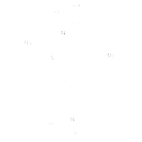 COc1cccc(-c2cn(C)c(=O)c3cc(CN4CCN(S(C)(=O)=O)CC4C)sc23)c1